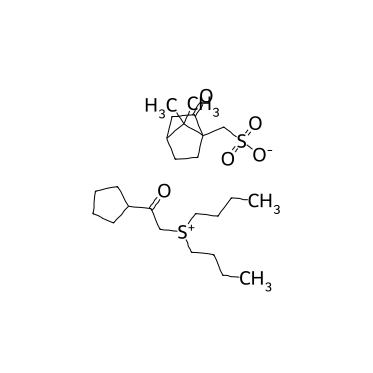 CC1(C)C2CCC1(CS(=O)(=O)[O-])C(=O)C2.CCCC[S+](CCCC)CC(=O)C1CCCC1